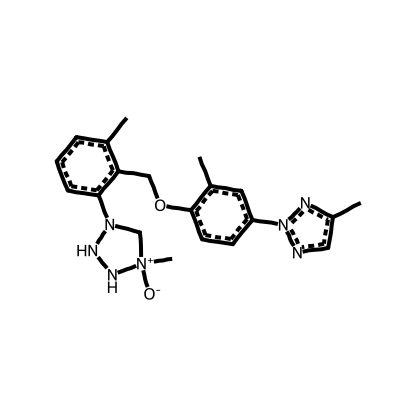 Cc1cnn(-c2ccc(OCc3c(C)cccc3N3C[N+](C)([O-])NN3)c(C)c2)n1